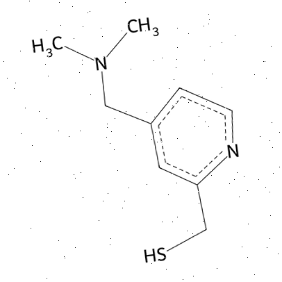 CN(C)Cc1ccnc(CS)c1